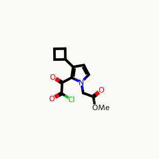 COC(=O)Cn1ccc(C2CCC2)c1C(=O)C(=O)Cl